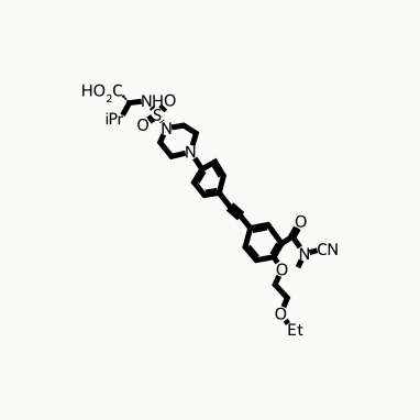 CCOCCOc1ccc(C#Cc2ccc(N3CCN(S(=O)(=O)N[C@@H](C(=O)O)C(C)C)CC3)cc2)cc1C(=O)N(C)C#N